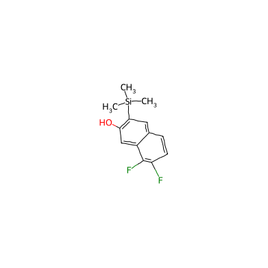 C[Si](C)(C)c1cc2ccc(F)c(F)c2cc1O